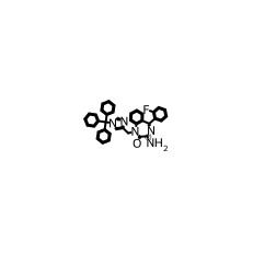 N[C@@H]1N=C(c2ccccc2F)c2ccccc2N(Cc2cn(C(c3ccccc3)(c3ccccc3)c3ccccc3)cn2)C1=O